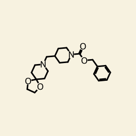 O=C(OCc1ccccc1)N1CCC(CN2CCC3(CC2)OCCO3)CC1